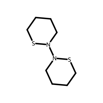 C1CCN(N2CCCCS2)SC1